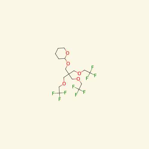 FC(F)(F)COCC(COCC(F)(F)F)(COCC(F)(F)F)COC1CCCCO1